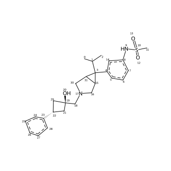 CC(C)C1(c2cccc(NS(C)(=O)=O)c2)C2CN(C[C@]3(O)C[C@H](c4ccccc4)C3)CC21